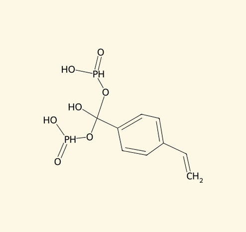 C=Cc1ccc(C(O)(O[PH](=O)O)O[PH](=O)O)cc1